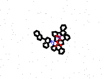 c1ccc(-c2ccc(-c3ccccc3N(c3ccccc3-c3ccc4ccccc4c3)c3ccc(-c4ccc5ccccc5c4)c4ccccc34)cc2-n2c3ccccc3c3c4ccccc4ccc32)cc1